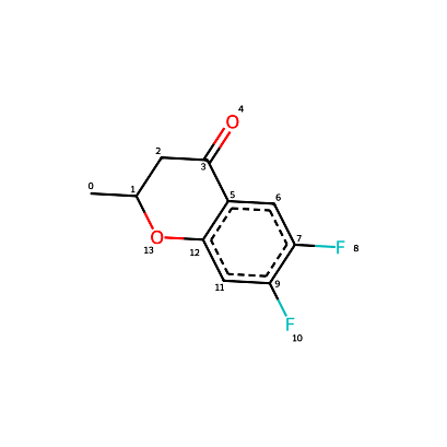 CC1CC(=O)c2cc(F)c(F)cc2O1